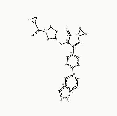 O=C(C1CC1)N1CC[C@H](CN2C(=O)C3(CC3)N=C2c2ccc(-c3ccc4occc4c3)cc2)C1